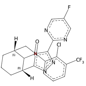 O=C(c1cccc(C(F)(F)F)c1Cl)C1[C@@H]2CCC[C@H]1c1nnc(-c3ncc(F)cn3)n1C2